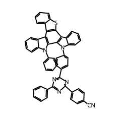 N#Cc1ccc(-c2nc(-c3ccccc3)nc(-c3ccc(-n4c5ccccc5c5c6sc7ccccc7c6c6c7ccccc7n(-c7ccccc7)c6c54)cc3)n2)cc1